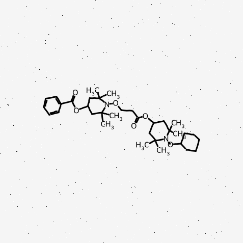 CC1(C)CC(OC(=O)c2ccccc2)CC(C)(C)N1OCCC(=O)OC1CC(C)(C)N(OC2CCCCC2)C(C)(C)C1